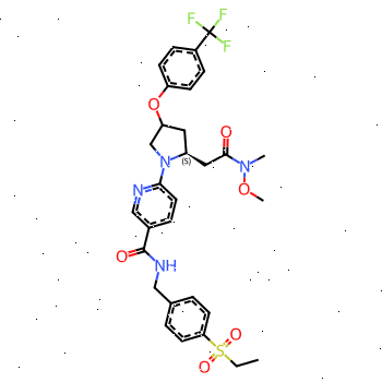 CCS(=O)(=O)c1ccc(CNC(=O)c2ccc(N3CC(Oc4ccc(C(F)(F)F)cc4)C[C@H]3CC(=O)N(C)OC)nc2)cc1